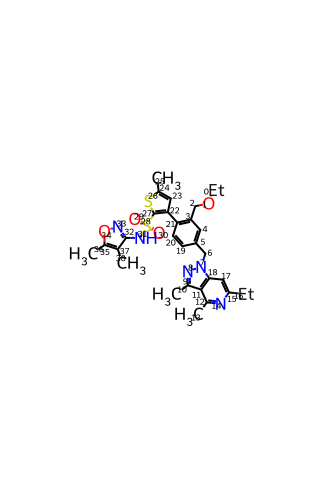 CCOCc1cc(Cn2nc(C)c3c(C)nc(CC)cc32)ccc1-c1cc(C)sc1S(=O)(=O)Nc1noc(C)c1C